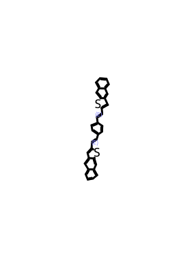 C(=C\c1cc2cc3ccccc3cc2s1)/c1ccc(/C=C/c2cc3cc4ccccc4cc3s2)cc1